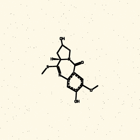 COc1cc2c(cc1O)N=C(SC)[C@@H]1CC(O)CN1C2=O